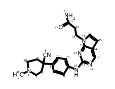 CN1CCC(C#N)(c2ccc(Nc3ncc4ccn(CCC(N)=O)c4n3)cc2)CC1